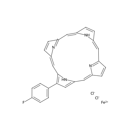 Fc1ccc(-c2cc3cc4nc(cc5ccc(cc6nc(cc2[nH]3)C=C6)[nH]5)C=C4)cc1.[Cl-].[Cl-].[Fe+2]